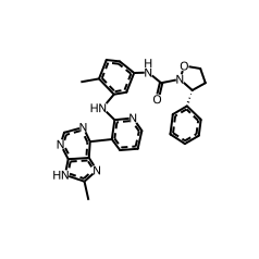 Cc1nc2c(-c3cccnc3Nc3cc(NC(=O)N4OCC[C@@H]4c4ccccc4)ccc3C)ncnc2[nH]1